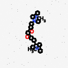 Cn1c2ccccc2c2cccc(C(c3ccccc3)c3ccc4cc5c(cc4c3)oc3ccc4c6cc7ccc(N(c8ccccc8)c8cccc9c%10ccccc%10n(C)c89)cc7cc6oc4c35)c21